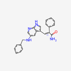 NC(=O)/C(=C/c1c[nH]c2ncc(NCc3ccccc3)cc12)c1ccccc1